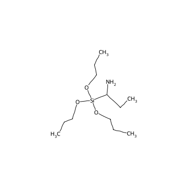 CCCO[Si](OCCC)(OCCC)C(N)CC